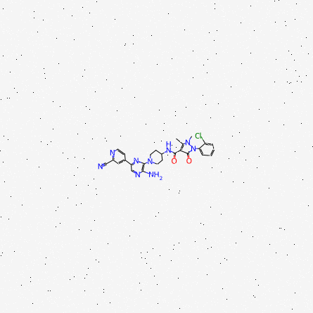 Cc1c(C(=O)NC2CCN(c3nc(-c4ccnc(C#N)c4)cnc3N)CC2)c(=O)n(-c2ccccc2Cl)n1C